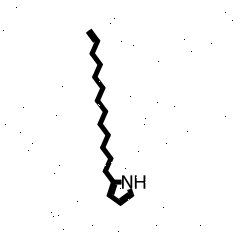 C=CCCCCCCCCCCCc1ccc[nH]1